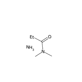 CCC(=O)N(C)C.N